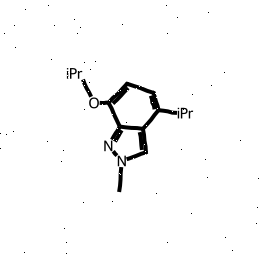 CC(C)Oc1ccc(C(C)C)c2cn(C)nc12